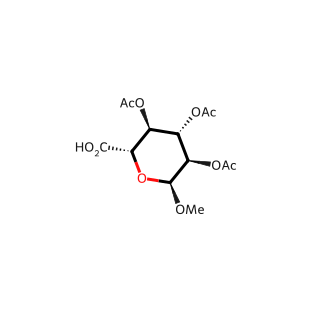 CO[C@H]1O[C@H](C(=O)O)[C@@H](OC(C)=O)[C@H](OC(C)=O)[C@H]1OC(C)=O